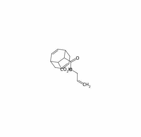 C=CCOC(=O)C1C2C=CC(CC=CC2)C1C(=O)O